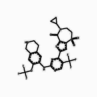 O=C1c2sc(-c3nc(Nc4cc5c(cc4OC(F)(F)F)CNCC5)ncc3C(F)(F)F)cc2S(=O)(=O)CCN1C1CC1